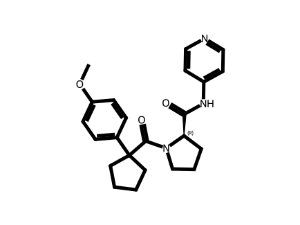 COc1ccc(C2(C(=O)N3CCC[C@@H]3C(=O)Nc3ccncc3)CCCC2)cc1